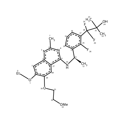 CCOc1cc2nc(C)nc(N[C@H](C)c3cccc(C(F)(F)C(C)(C)O)c3F)c2cc1OCCOC